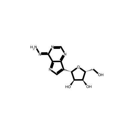 NN=C1N=CN=C2C([C@@H]3O[C@H](CO)[C@@H](O)[C@H]3O)=CN=C12